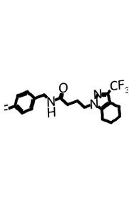 O=C(CCCn1nc(C(F)(F)F)c2c1CCCC2)NCc1ccc(F)cc1